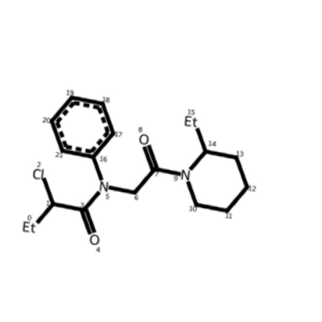 CCC(Cl)C(=O)N(CC(=O)N1CCCCC1CC)c1ccccc1